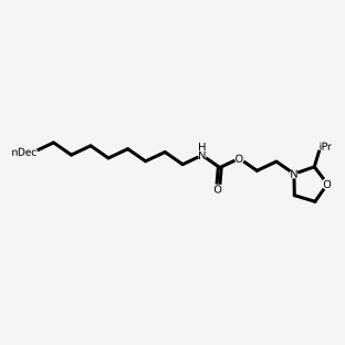 CCCCCCCCCCCCCCCCCCNC(=O)OCCN1CCOC1C(C)C